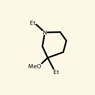 CCN1CCCC(CC)(OC)C1